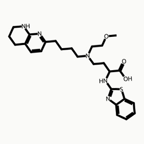 COCCN(CCCCc1ccc2c(n1)NCCC2)CCC(Nc1nc2ccccc2s1)C(=O)O